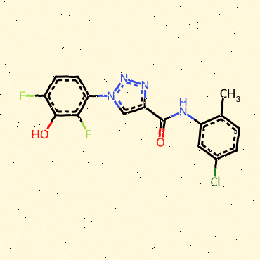 Cc1ccc(Cl)cc1NC(=O)c1cn(-c2ccc(F)c(O)c2F)nn1